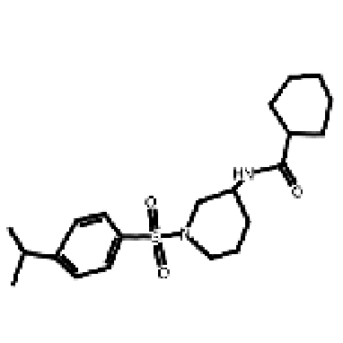 CC(C)c1ccc(S(=O)(=O)N2CCCC(NC(=O)C3CCCCC3)C2)cc1